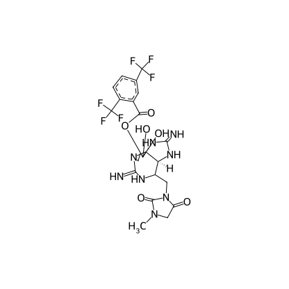 CN1CC(=O)N(CC2NC(=N)N3CC(OC(=O)c4cc(C(F)(F)F)ccc4C(F)(F)F)C(O)(O)[C@@]34NC(=N)N[C@@H]24)C1=O